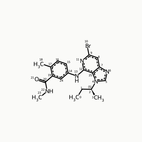 CC[C@H](C)n1cnc2cc(Br)nc(Nc3ccc(C)c(C(=O)NC)c3)c21